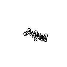 Cc1c(C(=O)N2CCOCC2)sc2nc(C(=O)NCc3ccc4c(c3)NC(=O)CO4)[nH]c(=O)c12